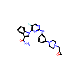 NC(=O)c1cn(-c2nc(Nc3cccc(N4CCN(CC5CO5)CC4)c3)ncc2F)c2ccccc12